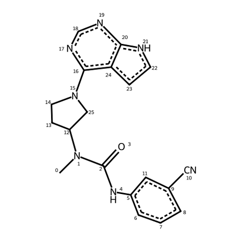 CN(C(=O)Nc1cccc(C#N)c1)C1CCN(c2ncnc3[nH]ccc23)C1